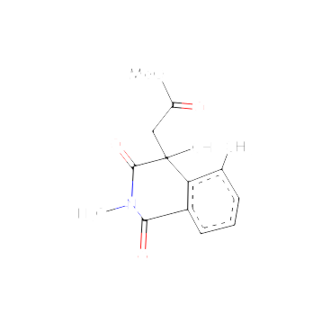 COC(=O)CC1(C)C(=O)N(C)C(=O)c2cccc(C)c21